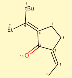 CC=C1CC/C(=C(/CC)C(C)(C)C)C1=O